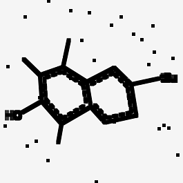 Cc1c(O)c(C)c2ccc(C(C)(C)C)cc2c1C